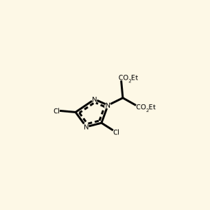 CCOC(=O)C(C(=O)OCC)n1nc(Cl)nc1Cl